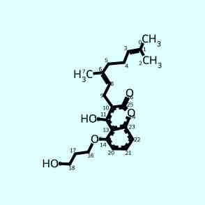 CC(C)=CCC/C(C)=C/Cc1c(O)c2c(OCCCO)cccc2oc1=O